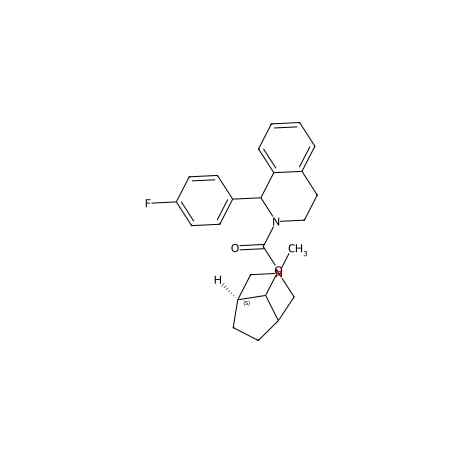 CN1CC2CC[C@@H](C1)C2OC(=O)N1CCc2ccccc2C1c1ccc(F)cc1